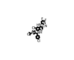 N#Cc1cnc2c(N[C@@H](c3ccc(Cl)cc3)c3cn(C4COC4)nn3)cc(Cl)cc2c1Nc1cnc(F)c(F)c1